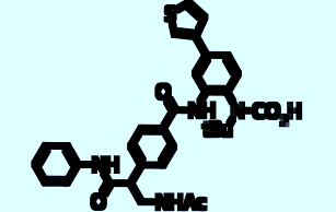 CC(=O)NCC(C(=O)Nc1ccccc1)c1ccc(C(=O)Nc2cc(-c3ccsc3)ccc2N(C(=O)O)C(C)(C)C)cc1